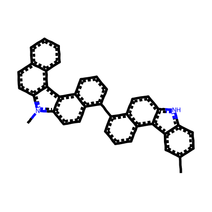 Cc1ccc2[nH]c3ccc4c(-c5cccc6c5ccc5c6c6c7ccccc7ccc6n5C)cccc4c3c2c1